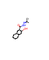 CC/C(C)=N/NC(=O)c1cc2ccccc2cc1O